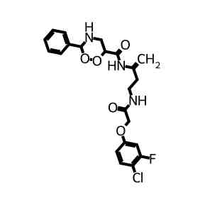 C=C(CCNC(=O)COc1ccc(Cl)c(F)c1)NC(=O)C1CNC(c2ccccc2)OO1